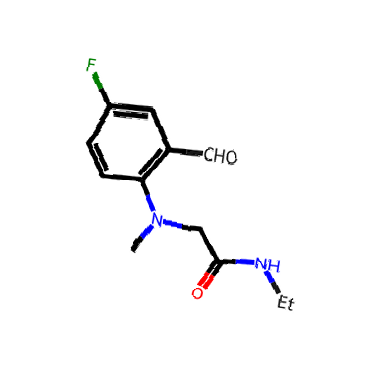 CCNC(=O)CN(C)c1ccc(F)cc1C=O